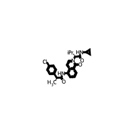 CC(C)[C@H](C(=O)NC1CC1)n1ccc2c(NC(=O)[C@H](C)c3ccc(Cl)cc3)cccc2c1=O